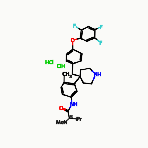 CN[C@H](C(=O)Nc1ccc(C)c(C2(Cc3ccc(Oc4cc(F)c(F)cc4F)cc3)CCNCC2)c1)C(C)C.Cl.Cl